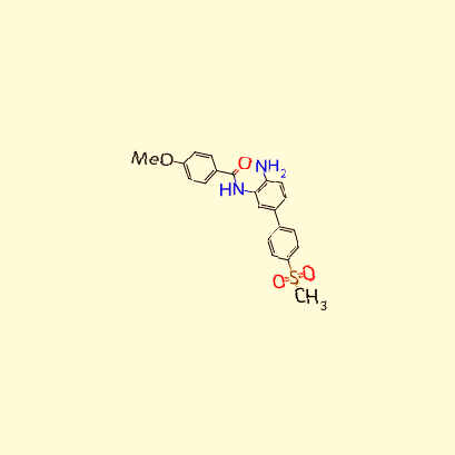 COc1ccc(C(=O)Nc2cc(-c3ccc(S(C)(=O)=O)cc3)ccc2N)cc1